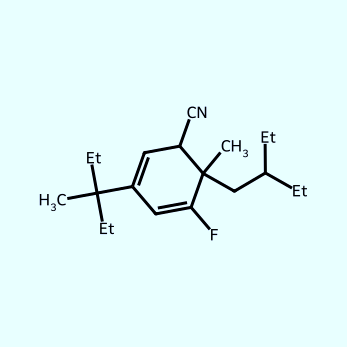 CCC(CC)CC1(C)C(F)=CC(C(C)(CC)CC)=CC1C#N